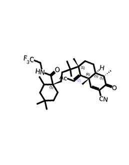 CC(=O)/C=C1/[C@@]2(C)C=C(C#N)C(=O)[C@@H](C)[C@@H]2CC[C@@]1(C)C(C)(C)CC[C@@]1(C(=O)NCC(F)(F)F)CCC(C)(C)CC1C